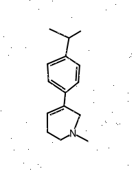 CC(C)c1ccc(C2=CCCN(C)C2)cc1